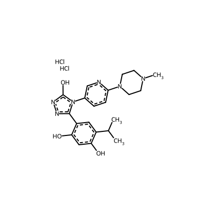 CC(C)c1cc(-c2nnc(O)n2-c2ccc(N3CCN(C)CC3)nc2)c(O)cc1O.Cl.Cl